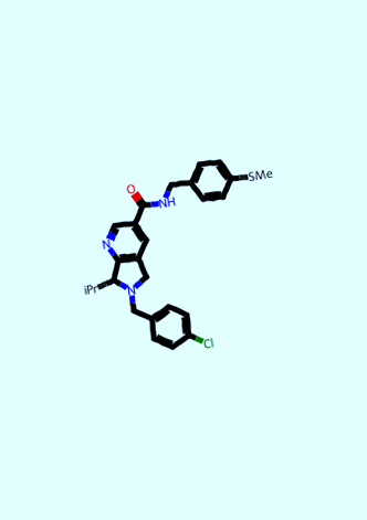 CSc1ccc(CNC(=O)c2cnc3c(c2)CN(Cc2ccc(Cl)cc2)C3C(C)C)cc1